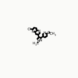 COc1ccc(-c2nn(C)cc2-c2cnc3ccc(Cl)nc3c2)cn1